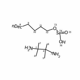 CC(C)(N)C(C)(C)N.CCCCCCCCCCCCCCO[Se](=O)O